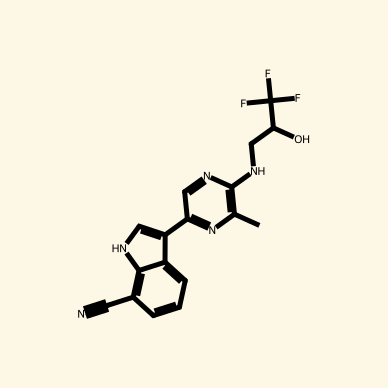 Cc1nc(-c2c[nH]c3c(C#N)cccc23)cnc1NCC(O)C(F)(F)F